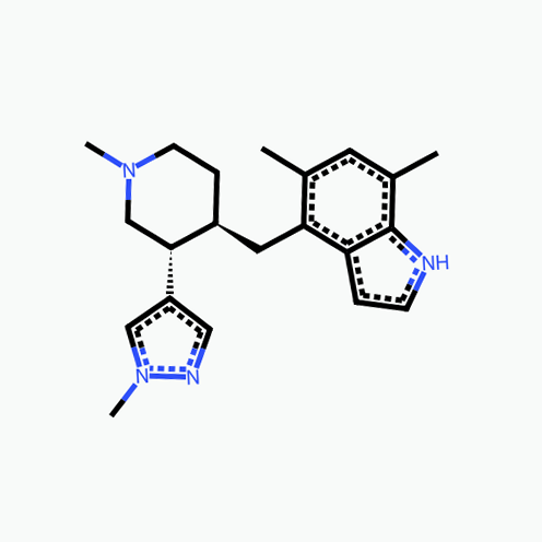 Cc1cc(C)c2[nH]ccc2c1C[C@@H]1CCN(C)C[C@H]1c1cnn(C)c1